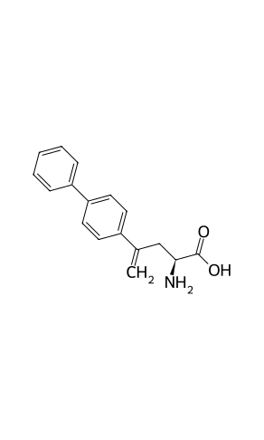 C=C(C[C@H](N)C(=O)O)c1ccc(-c2ccccc2)cc1